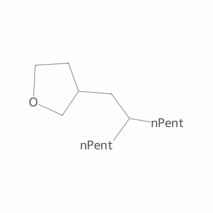 CCCCCC(CCCCC)CC1CCOC1